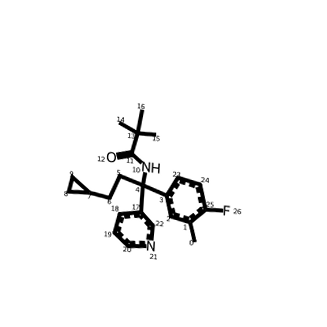 Cc1cc(C(CCC2CC2)(NC(=O)C(C)(C)C)c2cccnc2)ccc1F